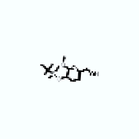 COC1OC(CO)CCC1O[Si](C)(C)C(C)(C)C